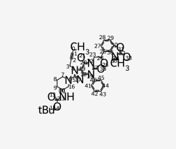 CC#CCn1c(N2CCC[C@@H](NC(=O)OC(C)(C)C)C2)nc2c1c(=O)n(CC(=O)c1cccc3oc(=O)n(C)c13)c(=O)n2-c1ccccc1